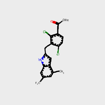 COC(=O)c1ccc(Cl)c(Cc2cc3c(C)cc(C(F)(F)F)cc3[nH]2)c1Cl